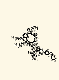 Cc1nc(-c2ccc(OC3CCCCC3)cc2)nc(C)c1C(=O)NC(CCNC(=O)CO)C(=O)N(C)[C@@H]1C(=O)N[C@@H](C)C(=O)N[C@H](C(=O)NCC#N)Cc2ccc(OCCN)c(c2)-c2cc1ccc2OCCN